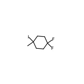 CC1(I)CCC(F)(F)CC1